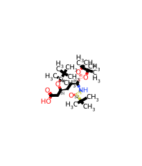 CC(C)(C)[S@@+]([O-])N[C@@H](CC[C@@H](CC(=O)O)O[Si](C)(C)C(C)(C)C)B1OC(C)(C)C(C)(C)O1